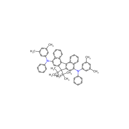 Cc1cc(C)cc(N(c2ccccc2)c2cc3c(c4ccccc24)-c2c(cc(N(c4ccccc4)c4cc(C)cc(C)c4)c4ccccc24)C3([Si](C)(C)C)[Si](C)(C)C)c1